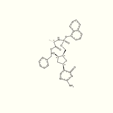 C[C@H](NP(=O)(OC[C@H]1S[C@@H](n2cnc(N)nc2=O)C[C@H]1O)Oc1cccc2ccccc12)C(=O)OCc1ccccc1